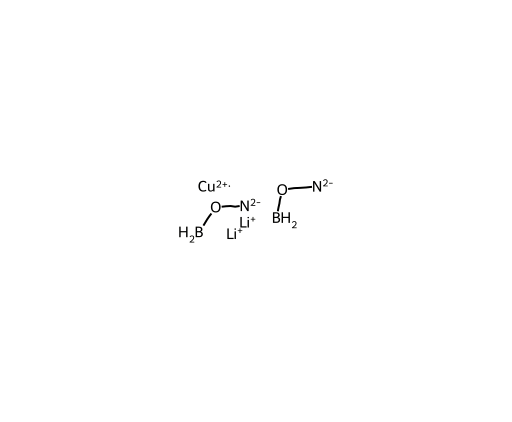 BO[N-2].BO[N-2].[Cu+2].[Li+].[Li+]